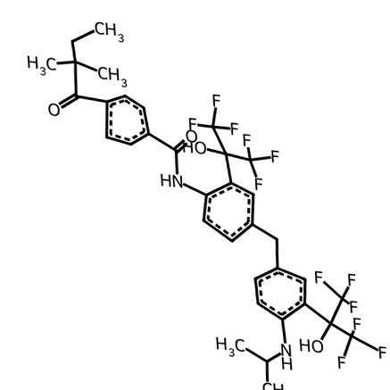 CCC(C)(C)C(=O)c1ccc(C(=O)Nc2ccc(Cc3ccc(NC(C)C)c(C(O)(C(F)(F)F)C(F)(F)F)c3)cc2C(O)(C(F)(F)F)C(F)(F)F)cc1